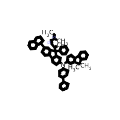 C=C(/C=C\C(C)=C/C)C1(c2ccccc2)c2cc(-c3cccc4ccccc34)ccc2-c2ccc(N(c3ccc(-c4ccccc4)cc3)c3ccc4c(c3)C(C)(C)c3ccccc3-4)cc21